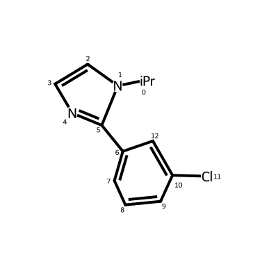 CC(C)n1ccnc1-c1cccc(Cl)c1